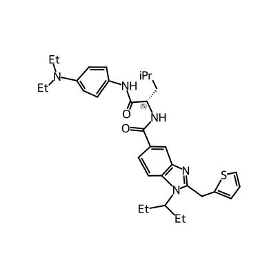 CCC(CC)n1c(Cc2cccs2)nc2cc(C(=O)N[C@@H](CC(C)C)C(=O)Nc3ccc(N(CC)CC)cc3)ccc21